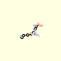 Nc1nc(O[C@H](c2ccc(-c3ccc4ncccc4c3)cc2)C(F)(F)F)cc(N2CCC3(CC2)CN[C@H](C(=O)O)C3)n1